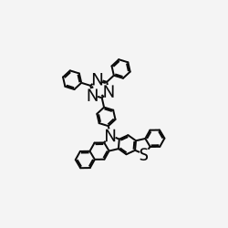 c1ccc(-c2nc(-c3ccccc3)nc(-c3ccc(-n4c5cc6ccccc6cc5c5cc6sc7ccccc7c6cc54)cc3)n2)cc1